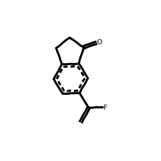 C=C(F)c1ccc2c(c1)C(=O)CC2